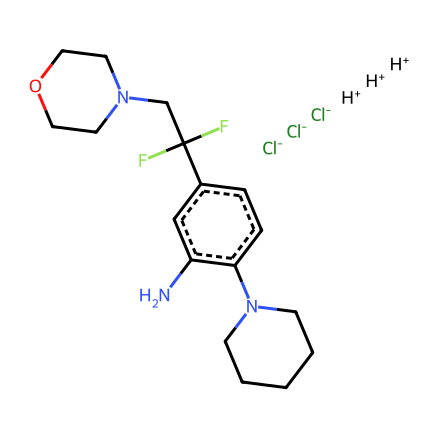 Nc1cc(C(F)(F)CN2CCOCC2)ccc1N1CCCCC1.[Cl-].[Cl-].[Cl-].[H+].[H+].[H+]